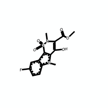 COC(=O)C1=C(O)c2c(c3cc(F)ccc3n2C)S(=O)(=O)N1C